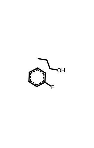 CCCO.Fc1ccccc1